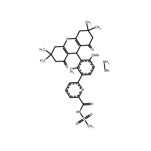 CC(C)(C)N.COc1ccc(-c2cccc(C(=O)NS(C)(=O)=O)n2)c(C)c1C1C2=C(CC(C)(C)CC2=O)OC2=C1C(=O)CC(C)(C)C2